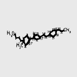 CCCCCC1(C)CCC(c2ccc(CCC3CCC(CCC)CC3)cc2)CC1